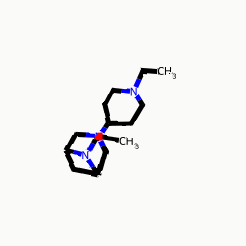 CCN1CCC(N2CC3CC(C2)N3CC)CC1